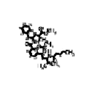 CCCCC(=O)NC(CC(OC(C)=O)c1cccc(C(=O)NC(Cc2ccccc2)CC(C)C(=O)OC)n1)C(C)C